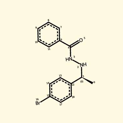 C[C@H](NNC(=O)c1ccccc1)c1ccc(Br)cc1